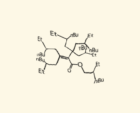 CCCCC(CC)COC(=O)C(=C(CC(CC)CCCC)CC(CC)CCCC)C(CC(CC)CCCC)(CC(CC)CCCC)CC(CC)CCCC